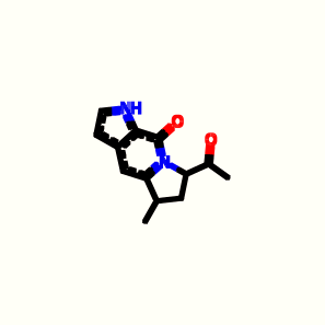 CC(=O)C1CC(C)c2cc3cc[nH]c3c(=O)n21